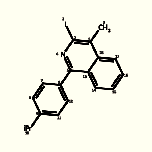 Cc1c(I)nc(-c2ccc(C(C)C)cc2)c2ccccc12